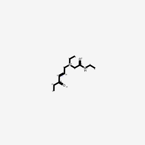 CCNC(=O)CN(CC)C/C=C/C(=O)CC